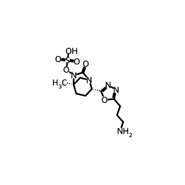 C[C@@]12CC[C@@H](c3nnc(CCCN)o3)N(C1)C(=O)N2OS(=O)(=O)O